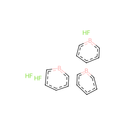 F.F.F.b1ccccc1.b1ccccc1.b1ccccc1